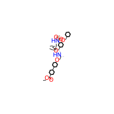 CCOC(=O)c1ccc(-c2ccc(OC[C@@H](C)NC[C@H](O[Si](CC)(CC)CC)c3ccc(OCc4ccccc4)c(NS(C)(=O)=O)c3)cc2)cc1